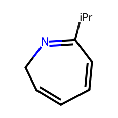 CC(C)C1=NCC=CC=C1